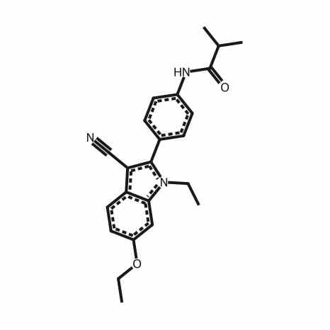 CCOc1ccc2c(C#N)c(-c3ccc(NC(=O)C(C)C)cc3)n(CC)c2c1